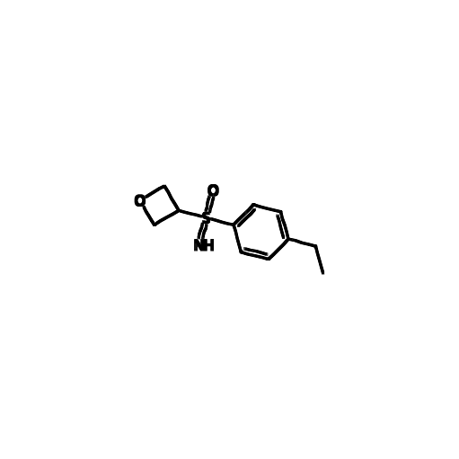 CCc1ccc(S(=N)(=O)C2COC2)cc1